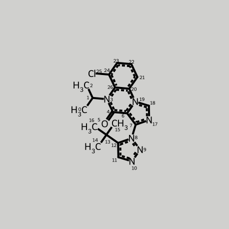 CC(C)n1c(=O)c2c(-n3nncc3C(C)(C)C)ncn2c2cccc(Cl)c21